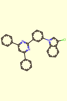 Clc1cn(-c2cccc(-c3nc(-c4ccccc4)cc(-c4ccccc4)n3)c2)c2ccccc12